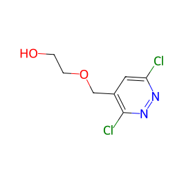 OCCOCc1cc(Cl)nnc1Cl